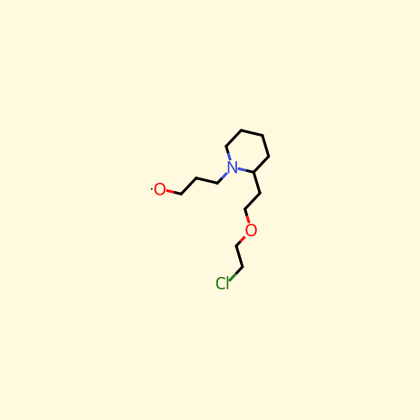 [O]CCCN1CCCCC1CCOCCCl